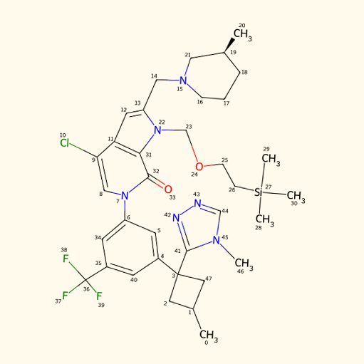 CC1CC(c2cc(-n3cc(Cl)c4cc(CN5CCC[C@H](C)C5)n(COCC[Si](C)(C)C)c4c3=O)cc(C(F)(F)F)c2)(c2nncn2C)C1